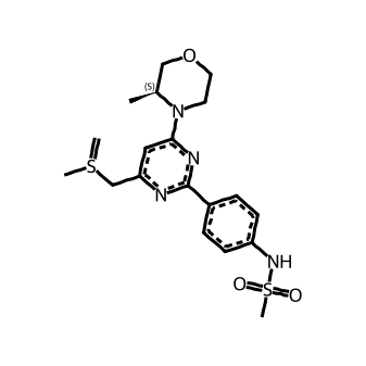 C=S(C)Cc1cc(N2CCOC[C@@H]2C)nc(-c2ccc(NS(C)(=O)=O)cc2)n1